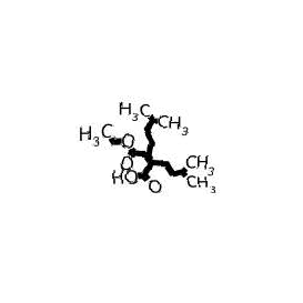 CCOC(=O)/C(CCC(C)C)=C(/CCC(C)C)C(=O)O